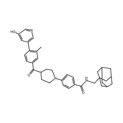 Cc1cc(C(=O)N2CCN(c3ccc(C(=O)NCC45CC6CC(CC(C6)C4)C5)cc3)CC2)ccc1-c1cncc(O)c1